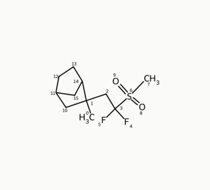 CC1(CC(F)(F)S(C)(=O)=O)CC2CCC1C2